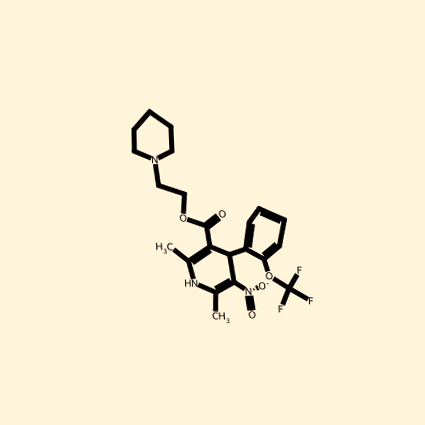 CC1=C(C(=O)OCCN2CCCCC2)C(c2ccccc2OC(F)(F)F)C([N+](=O)[O-])=C(C)N1